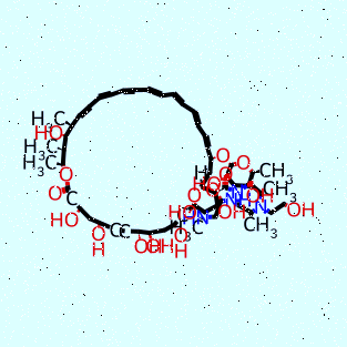 CNCC(=O)N[C@@H]1[C@H](O)[C@@H](O[C@H]2/C=C/C=C/C=C/C=C/C=C/C=C/C=C/[C@H](C)[C@@H](O)[C@@H](C)[C@H](C)OC(=O)C[C@H](O)C[C@H](O)CC[C@@H](O)[C@H](O)C[C@H](O)C[C@]3(O)C[C@H](O)[C@@H](C(=O)N4CC(C)N(CCO)C(C)C4)[C@H](C2)O3)O[C@@H](C)[C@H]1O